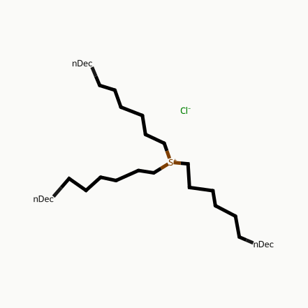 CCCCCCCCCCCCCCCC[S+](CCCCCCCCCCCCCCCC)CCCCCCCCCCCCCCCC.[Cl-]